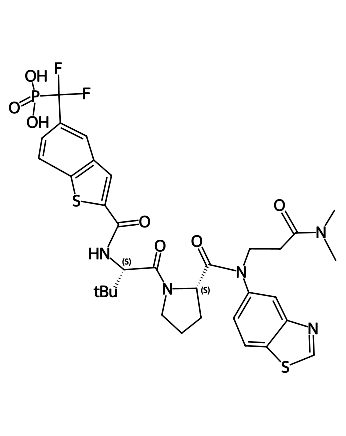 CN(C)C(=O)CCN(C(=O)[C@@H]1CCCN1C(=O)[C@@H](NC(=O)c1cc2cc(C(F)(F)P(=O)(O)O)ccc2s1)C(C)(C)C)c1ccc2scnc2c1